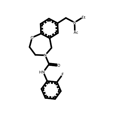 CCN(Cc1ccc2c(c1)CN(C(=O)Nc1ccccc1F)CCO2)C(C)=O